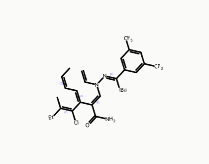 C=CN(\C=C(C(N)=O)/C(=C/C=C\C)C(/Cl)=C(\C)CC)/N=C(/c1cc(C(F)(F)F)cc(C(F)(F)F)c1)C(C)CC